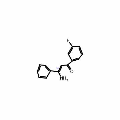 N/C(=C\C(=O)c1cccc(F)c1)c1ccccc1